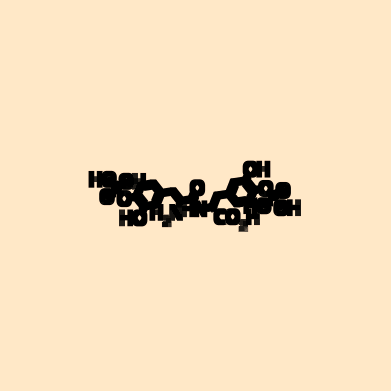 N[C@@H](Cc1ccc(OP(=O)(O)O)c(O)c1)C(=O)N[C@@H](Cc1ccc(OP(=O)(O)O)c(O)c1)C(=O)O